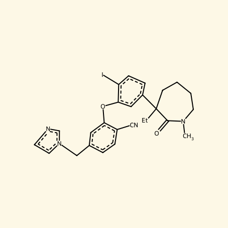 CCC1(c2ccc(I)c(Oc3cc(Cn4ccnc4)ccc3C#N)c2)CCCCN(C)C1=O